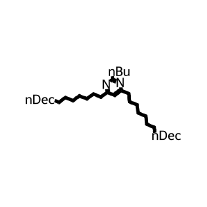 [CH2]CCCc1nc(CCCCCCCCCCCCCCCCC)cc(CCCCCCCCCCCCCCCCC)n1